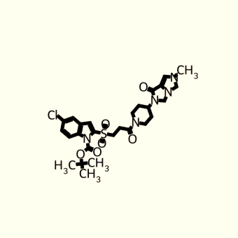 CN1C=C2C(=O)N(C3CCN(C(=O)CCS(=O)(=O)c4cc5cc(Cl)ccc5n4C(=O)OC(C)(C)C)CC3)CN2C1